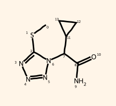 CSc1nnnn1C(C(N)=O)C1CC1